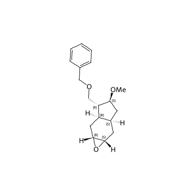 CO[C@H]1C[C@H]2C[C@@H]3O[C@@H]3C[C@H]2[C@@H]1COCc1ccccc1